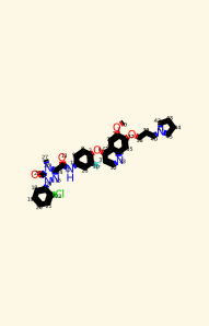 COc1cc2c(Oc3ccc(NC(=O)c4nn(-c5ccccc5Cl)c(=O)n4C)cc3F)ccnc2cc1OCCCN1CCCC1